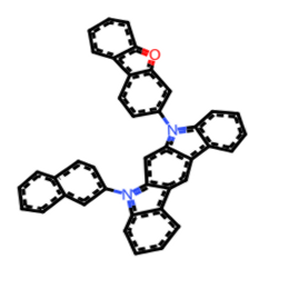 c1ccc2cc(-n3c4ccccc4c4cc5c6ccccc6n(-c6ccc7c(c6)oc6ccccc67)c5cc43)ccc2c1